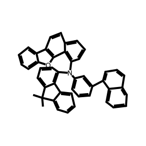 CC1(C)c2ccccc2-c2c(N(c3cccc(-c4cccc5ccccc45)c3)c3cccc4ccc5c6ccccc6oc5c34)cccc21